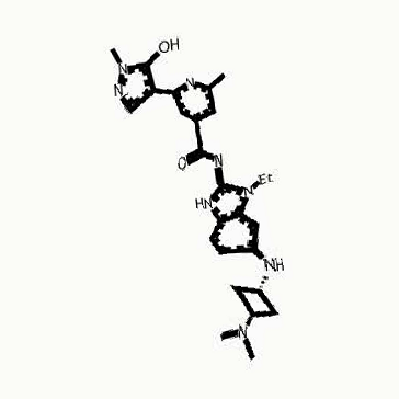 CCn1/c(=N/C(=O)c2cc(C)nc(-c3cnn(C)c3O)c2)[nH]c2ccc(N[C@H]3C[C@H](N(C)C)C3)cc21